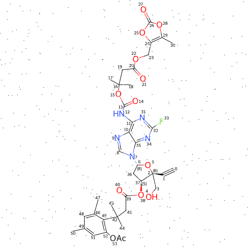 C#C[C@]1(CO)O[C@@H](n2cnc3c(NC(=O)OC(C)(C)CC(=O)OCc4oc(=O)oc4C)nc(F)nc32)C[C@@H]1OC(=O)CC(C)(C)c1c(C)cc(C)cc1OC(C)=O